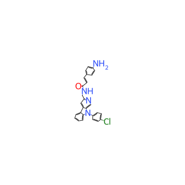 Nc1ccc(/C=C/C(=O)NCc2cc3c4ccccc4n(-c4ccc(Cl)cc4)c3cn2)cc1